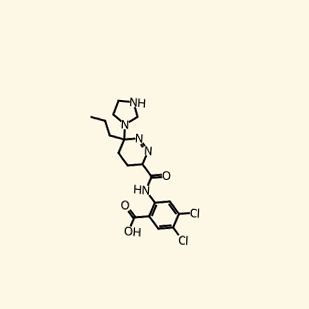 CCCC1(N2CCNC2)CCC(C(=O)Nc2cc(Cl)c(Cl)cc2C(=O)O)N=N1